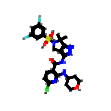 CC1(C)c2[nH]nc(NC(=O)c3ccc(Cl)nc3NC3CCOCC3)c2CN1S(=O)(=O)c1cc(F)cc(F)c1